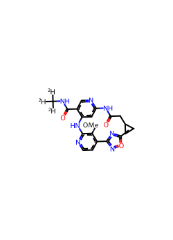 [2H]C([2H])([2H])NC(=O)c1cnc(NC(=O)CC2CC2)cc1Nc1nccc(-c2noc(C)n2)c1OC